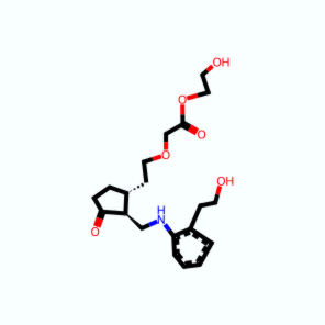 O=C(COCC[C@H]1CCC(=O)[C@@H]1CNc1ccccc1CCO)OCCO